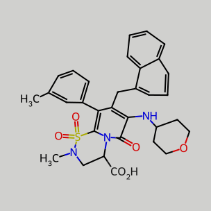 Cc1cccc(-c2c(Cc3cccc4ccccc34)c(NC3CCOCC3)c(=O)n3c2S(=O)(=O)N(C)CC3C(=O)O)c1